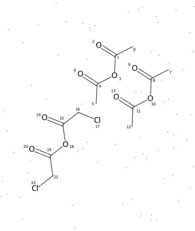 CC(=O)OC(C)=O.CC(=O)OC(C)=O.O=C(CCl)OC(=O)CCl